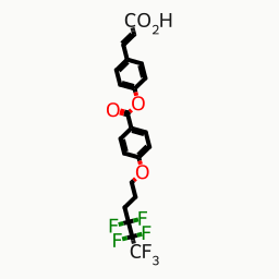 O=C(O)C=Cc1ccc(OC(=O)c2ccc(OCCCC(F)(F)C(F)(F)C(F)(F)F)cc2)cc1